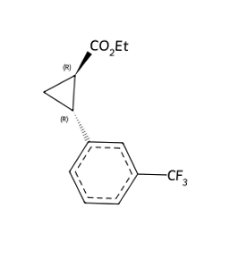 CCOC(=O)[C@@H]1C[C@H]1c1cccc(C(F)(F)F)c1